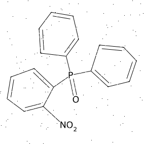 O=[N+]([O-])c1ccccc1P(=O)(c1ccccc1)c1ccccc1